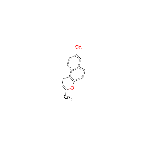 CC1=CCc2c(ccc3cc(O)ccc23)O1